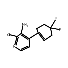 Nc1c(C2=CCC(F)(F)CC2)ccnc1Cl